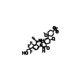 C#C[C@@H](Nc1n[nH]c(=O)c2cc(OC)c(C3(OC)CCC(S(C)(=O)=O)CC3)cc12)c1cccc(C(F)(F)CO)c1F